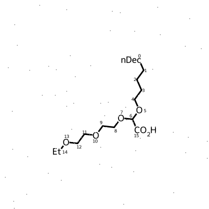 CCCCCCCCCCCCCCOC(OCCOCCOCC)C(=O)O